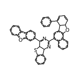 C1=CC2Oc3c(cc(C4=NC5c6ccccc6SC5C(c5ccc6c(c5)oc5ccccc56)=N4)c4ccccc34)C2C(c2ccccc2)=C1